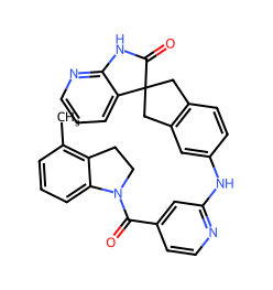 Cc1cccc2c1CCN2C(=O)c1ccnc(Nc2ccc3c(c2)CC2(C3)C(=O)Nc3ncccc32)c1